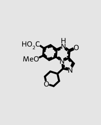 COc1cc2c(cc1C(=O)O)[nH]c(=O)c1cnc(C3CCOCC3)n12